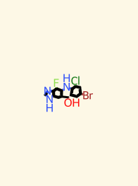 OCc1cc2[nH]cnc2c(F)c1Nc1ccc(Br)cc1Cl